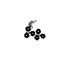 [C]=O.[Cl-].[Cl-].[Cl-].[Rh+3].c1cc[c]([Sb]([c]2ccccc2)[c]2ccccc2)cc1.c1cc[c]([Sb]([c]2ccccc2)[c]2ccccc2)cc1